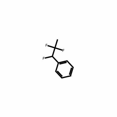 CC(F)(F)C(F)c1cc[c]cc1